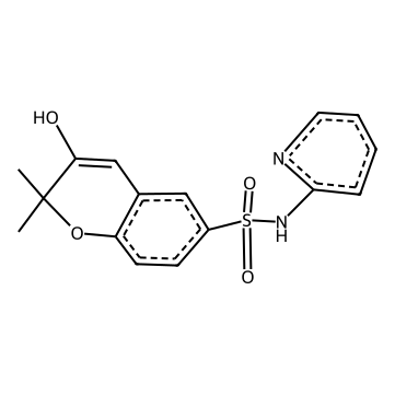 CC1(C)Oc2ccc(S(=O)(=O)Nc3ccccn3)cc2C=C1O